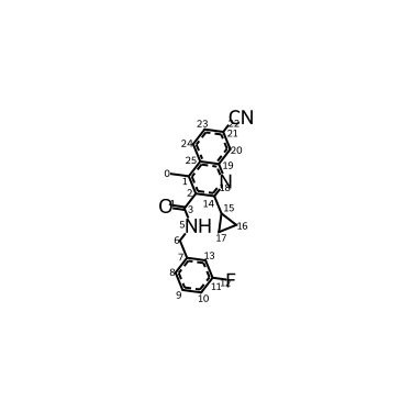 Cc1c(C(=O)NCc2cccc(F)c2)c(C2CC2)nc2cc(C#N)ccc12